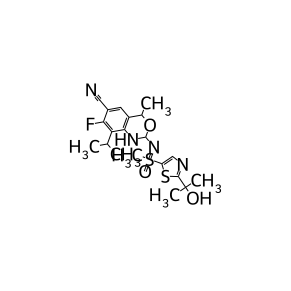 CC(C)c1c(F)c(C#N)cc2c1NC(N=S(C)(=O)c1cnc(C(C)(C)O)s1)OC2C